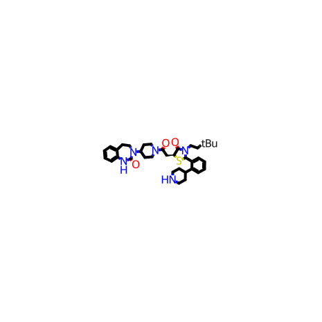 CC(C)(C)CCN1C(=O)[C@H](CC(=O)N2CCC(N3CCc4ccccc4NC3=O)CC2)SC1c1ccccc1C1CCNCC1